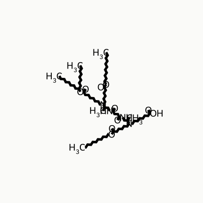 CCCCCCCCCCCOC(=O)CCCCCN(CCCCCCCC(=O)O)C(C)CNC(=O)CCC(=O)NCC(C)N(CCCCCCCC(=O)OC(CCCCCCCC)CCCCCCCC)CCCCCC(=O)OCCCCCCCCCCC